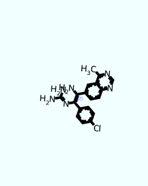 Cc1ncnc2ccc(/C(N)=C(/N=C(N)N)c3ccc(Cl)cc3)cc12